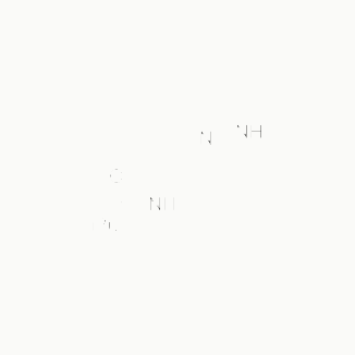 CCC(C)C(=O)NCCc1c[nH]cn1